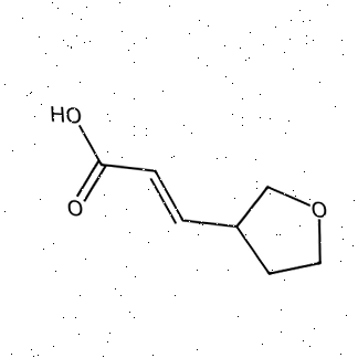 O=C(O)/C=C/C1CCOC1